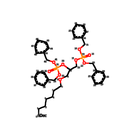 CCCCCCCCCCCCCCCCOCC(COP(=O)(OCc1ccccc1)OCc1ccccc1)OP(=O)(OCc1ccccc1)OCc1ccccc1